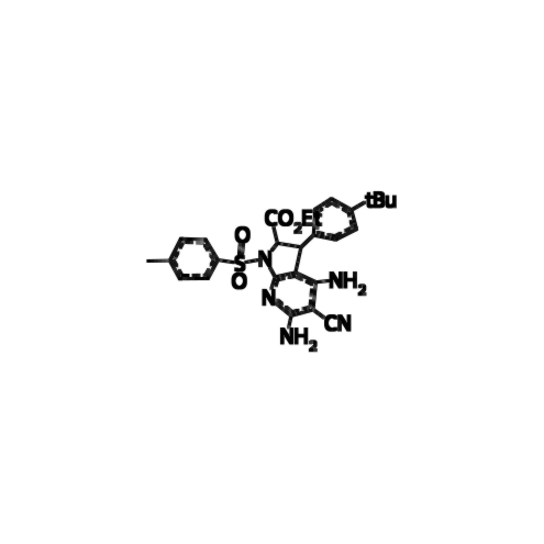 CCOC(=O)C1C(c2ccc(C(C)(C)C)cc2)c2c(nc(N)c(C#N)c2N)N1S(=O)(=O)c1ccc(C)cc1